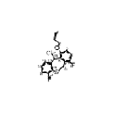 C=CCOc1ccc(F)c2c1C(Cl)c1cccc(F)c1SC2